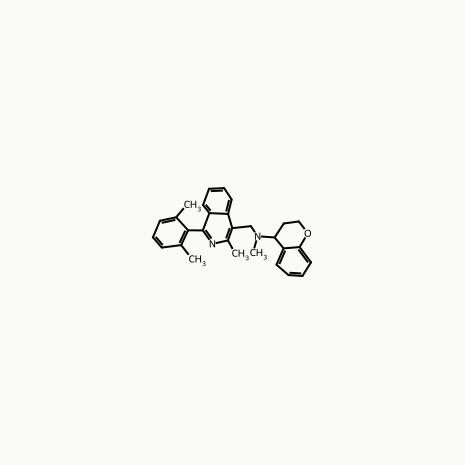 Cc1cccc(C)c1-c1nc(C)c(CN(C)C2CCOc3ccccc32)c2ccccc12